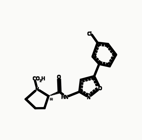 O=C(Nc1cc(-c2cccc(Cl)c2)on1)[C@@H]1CCCN1C(=O)O